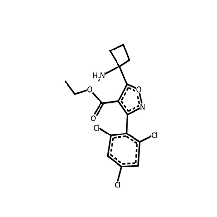 CCOC(=O)c1c(-c2c(Cl)cc(Cl)cc2Cl)noc1C1(N)CCC1